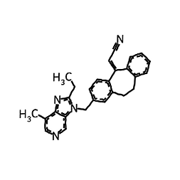 CCc1nc2c(C)cncc2n1Cc1ccc2c(c1)CCc1ccccc1C2=CC#N